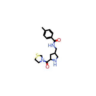 Cc1ccc(C(=O)NCC2CNC(C(=O)N3CCSC3)C2)cc1